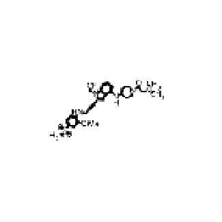 COc1cc(S(N)(=O)=O)ccc1NCC#Cc1cc2c(NC3CCN(C(=O)CN(C)C)CC3)cccc2n1CC(F)(F)F